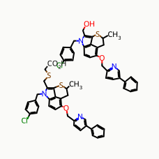 CC1Cc2c(OCc3ccc(-c4ccccc4)cn3)ccc3c2c(c(CO)n3Cc2ccc(Cl)cc2)S1.CC1Cc2c(OCc3ccc(-c4ccccc4)cn3)ccc3c2c(c(CSCC(=O)O)n3Cc2ccc(Cl)cc2)S1